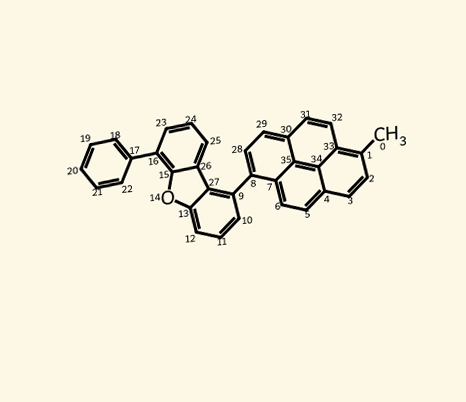 Cc1ccc2ccc3c(-c4cccc5oc6c(-c7ccccc7)cccc6c45)ccc4ccc1c2c43